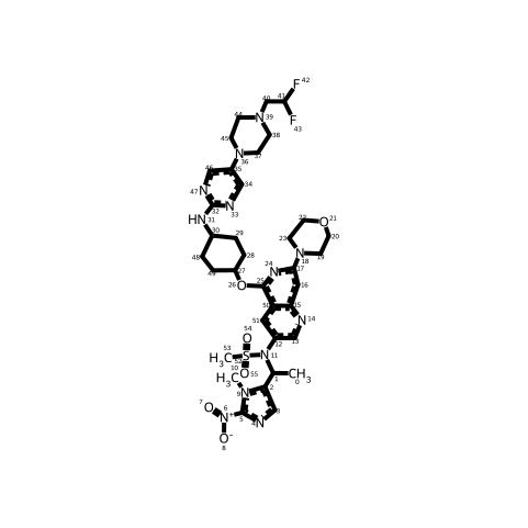 CC(c1cnc([N+](=O)[O-])n1C)N(c1cnc2cc(N3CCOCC3)nc(OC3CCC(Nc4ncc(N5CCN(CC(F)F)CC5)cn4)CC3)c2c1)S(C)(=O)=O